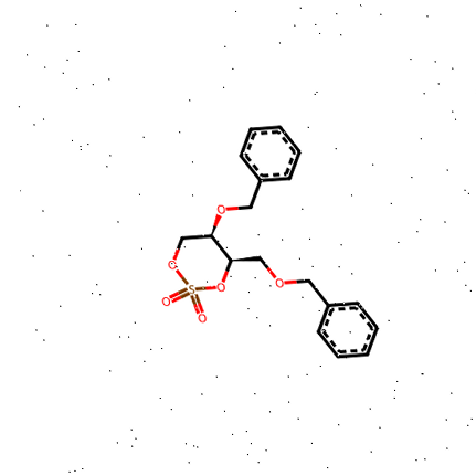 O=S1(=O)OC[C@@H](OCc2ccccc2)[C@@H](COCc2ccccc2)O1